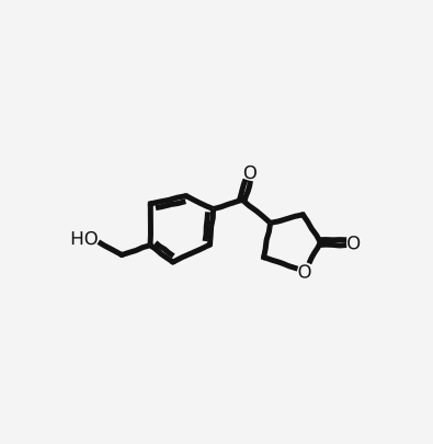 O=C1CC(C(=O)c2ccc(CO)cc2)CO1